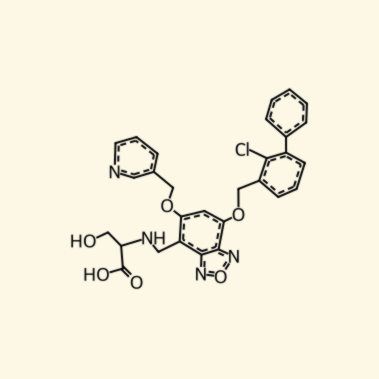 O=C(O)C(CO)NCc1c(OCc2cccnc2)cc(OCc2cccc(-c3ccccc3)c2Cl)c2nonc12